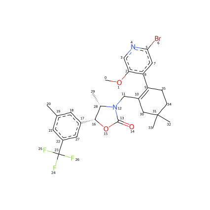 COc1cnc(Br)cc1C1=C(CN2C(=O)O[C@H](c3cc(C)cc(C(F)(F)F)c3)[C@@H]2C)CC(C)(C)CC1